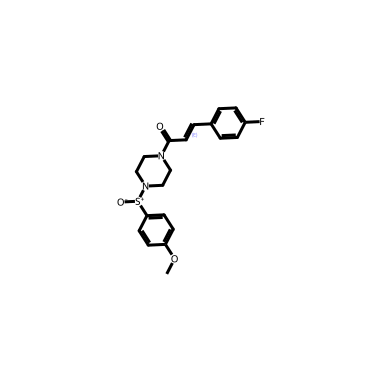 COc1ccc([S+]([O-])N2CCN(C(=O)/C=C/c3ccc(F)cc3)CC2)cc1